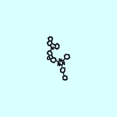 c1ccc(-c2ccc(-c3nc(-c4ccccc4)nc(-c4ccc5oc6ccc(-n7c8ccccc8c8c9ccccc9ccc87)cc6c5c4)n3)cc2)cc1